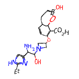 CCc1nc(C(N)C(O)N2CC(OC3=C(C(=O)O)C4OB(O)CCC4C=C3)C2)c[nH]1